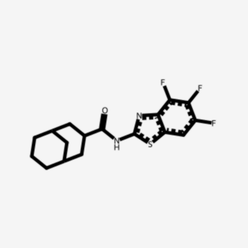 O=C(Nc1nc2c(F)c(F)c(F)cc2s1)C1CC2CCCC(C2)C1